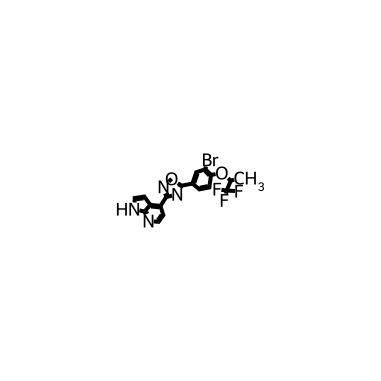 CC(Oc1ccc(-c2nc(-c3ccnc4[nH]ccc34)no2)cc1Br)C(F)(F)F